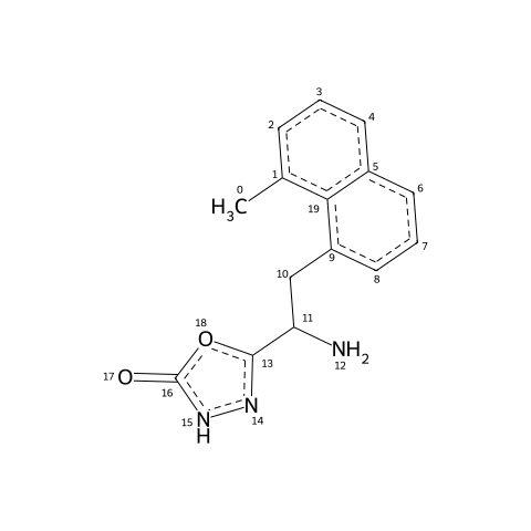 Cc1cccc2cccc(CC(N)c3n[nH]c(=O)o3)c12